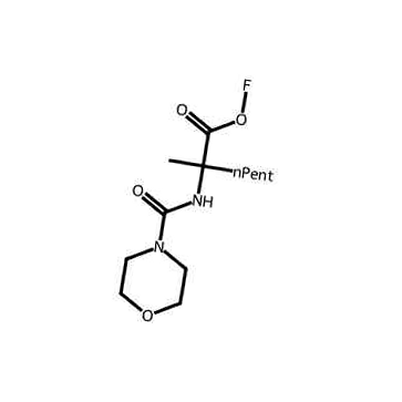 CCCCCC(C)(NC(=O)N1CCOCC1)C(=O)OF